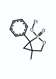 CCOP1(=O)OCC2(C)CC21c1ccccc1